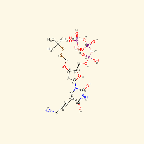 CC(C)(C)SSCO[C@@H]1C[C@H](n2cc(C#CCN)c(=O)[nH]c2=O)O[C@@H]1COP(=O)(O)OP(=O)(O)OP(=O)(O)O